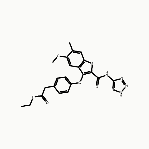 CCOC(=O)Cc1ccc(Oc2c(C(=O)Nc3nn[nH]n3)sc3cc(C)c(OC)cc23)cc1